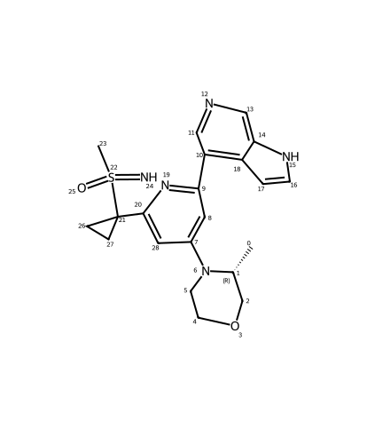 C[C@@H]1COCCN1c1cc(-c2cncc3[nH]ccc23)nc(C2(S(C)(=N)=O)CC2)c1